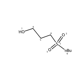 CCCCS(=O)(=O)CCCO